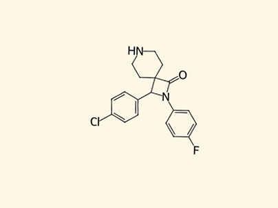 O=C1N(c2ccc(F)cc2)C(c2ccc(Cl)cc2)C12CCNCC2